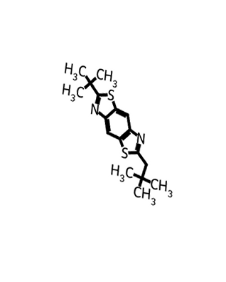 CC(C)(C)Cc1nc2cc3sc(C(C)(C)C)nc3cc2s1